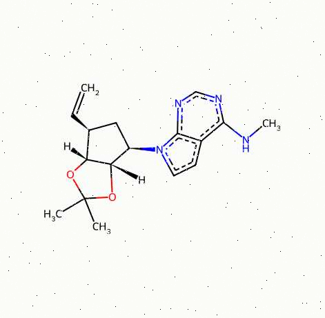 C=C[C@H]1C[C@@H](n2ccc3c(NC)ncnc32)[C@@H]2OC(C)(C)O[C@@H]21